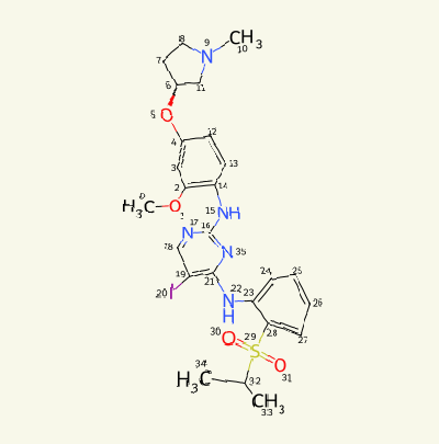 COc1cc(O[C@H]2CCN(C)C2)ccc1Nc1ncc(I)c(Nc2ccccc2S(=O)(=O)C(C)C)n1